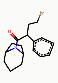 O=C(C(CCBr)c1ccccc1)N1C2CCCC1CC2